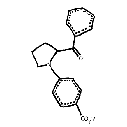 O=C(O)c1ccc(N2CCCC2C(=O)c2ccccc2)cc1